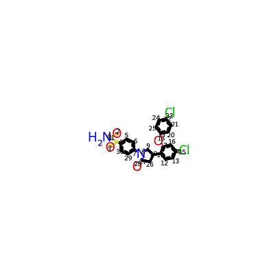 NS(=O)(=O)c1ccc(N2CC(c3ccc(Cl)cc3Oc3ccc(Cl)cc3)CC2=O)cc1